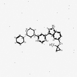 CC1(Oc2ccc3[nH]nc(-c4cc(N5CCO[C@@H](C6C=CC=CC6)C5)ncn4)c3c2)CC1